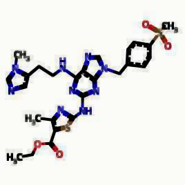 CCOC(=O)c1sc(Nc2nc(NCCc3cncn3C)c3ncn(Cc4ccc(S(C)(=O)=O)cc4)c3n2)nc1C